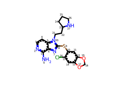 Nc1nccc2c1nc(Sc1cc3c(cc1Cl)OCO3)n2CCC1CCCN1